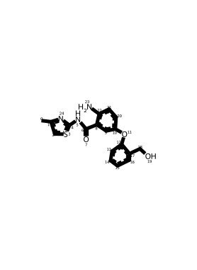 Cc1csc(NC(=O)c2cc(Oc3ccccc3CO)ccc2N)n1